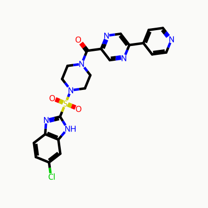 O=C(c1cnc(-c2ccncc2)cn1)N1CCN(S(=O)(=O)c2nc3ccc(Cl)cc3[nH]2)CC1